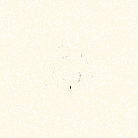 Cc1cc([C@@H](C)Nc2ccc(Cl)nc2/C(N)=N/O)c2oc(-c3ccccn3)c(I)c(=O)c2c1